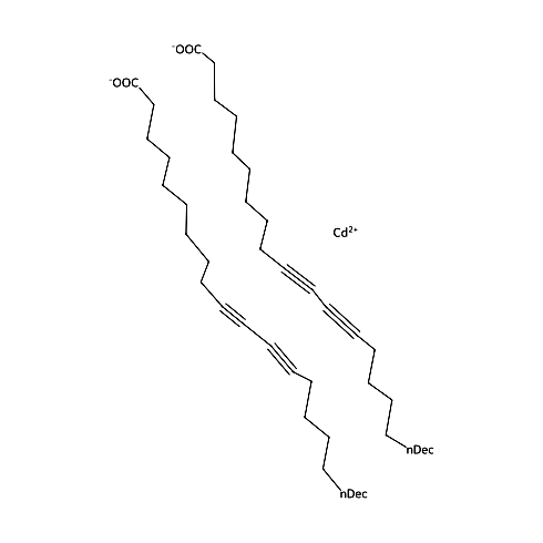 CCCCCCCCCCCCCCC#CC#CCCCCCCCCC(=O)[O-].CCCCCCCCCCCCCCC#CC#CCCCCCCCCC(=O)[O-].[Cd+2]